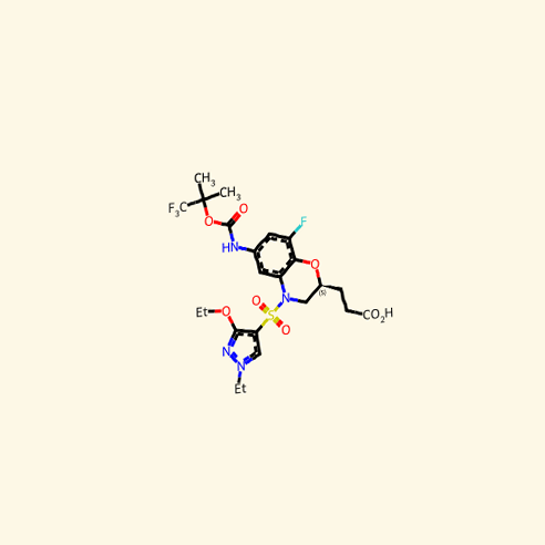 CCOc1nn(CC)cc1S(=O)(=O)N1C[C@H](CCC(=O)O)Oc2c(F)cc(NC(=O)OC(C)(C)C(F)(F)F)cc21